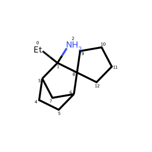 CCC1(N)C2CCC(C2)C12CCCC2